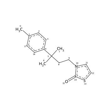 Cc1ccc(C(C)(C)CCn2ccsc2=O)cc1